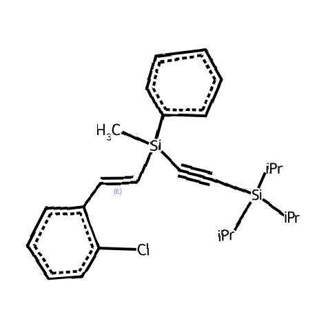 CC(C)[Si](C#C[Si](C)(/C=C/c1ccccc1Cl)c1ccccc1)(C(C)C)C(C)C